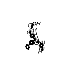 O=C(O)CCNC(=O)c1ccc(C(NC(=O)Nc2ccc(OC(F)(F)F)cc2)c2ccc(C3CCCCC3)cc2)cc1